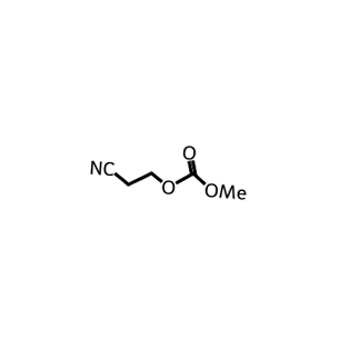 COC(=O)OCCC#N